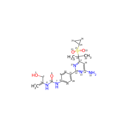 C=C(CO)NC(=O)Nc1ccc(-c2nc(N)cc(C(C)(C)S(=O)(=O)C3CC3)n2)cc1